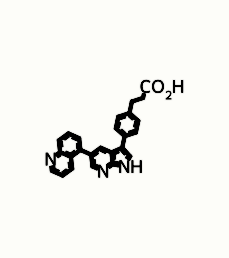 O=C(O)CCc1ccc(-c2c[nH]c3ncc(-c4cccc5ncccc45)cc23)cc1